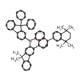 CC1(C)CCC(C)(C)c2cc(-c3ccc(-c4cc5c(cc4N(c4ccccc4)c4ccc6c(c4)C(c4ccccc4)(c4ccccc4)c4ccccc4-6)C(C)(C)c4ccccc4-5)cc3)ccc21